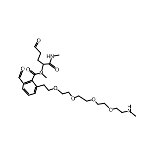 CNCCOCCOCCOCCOCCc1cccc(C=O)c1C(=O)N(C)C(CCC=O)C(=O)NC